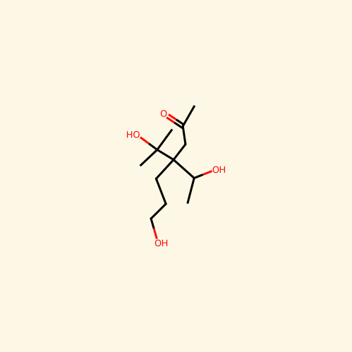 CC(=O)CC(CCCO)(C(C)O)C(C)(C)O